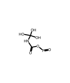 O=POC(=O)NC(O)(O)O